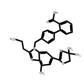 CCCc1nc2c(C)cc(C3=NC(C)(C)CO3)cc2n1Cc1ccc(-c2ccccc2C(=O)O)cc1